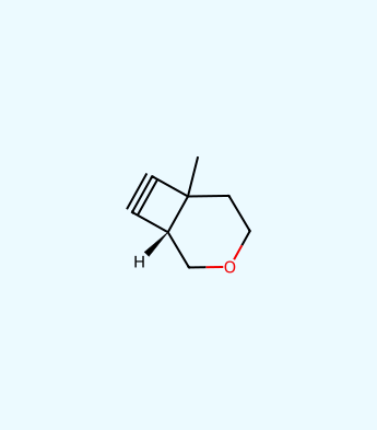 CC12C#C[C@H]1COCC2